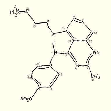 COc1ccc(N(C)c2nc(N)nc3cccc(CCCCN)c23)cc1